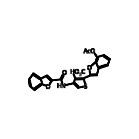 CC(=O)Oc1cccc2cc(-c3scc(NC(=O)c4cc5ccccc5o4)c3C(=O)O)oc12